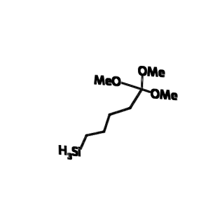 COC(CCCC[SiH3])(OC)OC